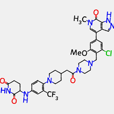 COc1cc(-c2cn(C)c(=O)c3[nH]ncc23)cc(Cl)c1CN1CCN(C(=O)CC2CCN(c3ccc(NC4CCC(=O)NC4=O)cc3C(F)(F)F)CC2)CC1